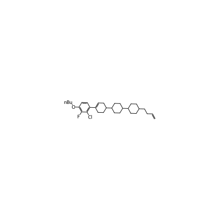 C=CCCC1CCC(C2CCC(C3CC=C(c4ccc(OCCCC)c(F)c4Cl)CC3)CC2)CC1